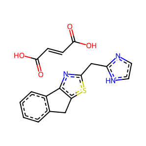 O=C(O)/C=C/C(=O)O.c1ccc2c(c1)Cc1sc(Cc3ncc[nH]3)nc1-2